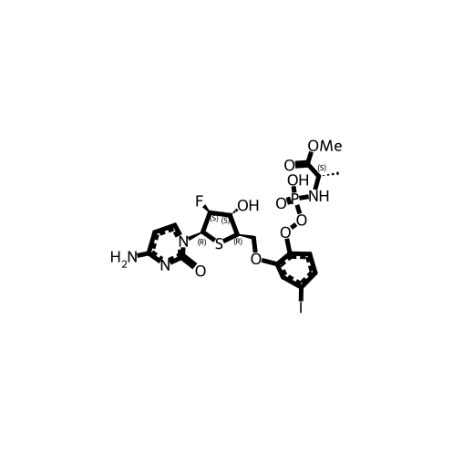 COC(=O)[C@H](C)NP(=O)(O)OOc1ccc(I)cc1OC[C@H]1S[C@@H](n2ccc(N)nc2=O)[C@@H](F)[C@@H]1O